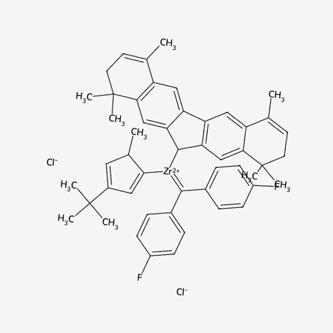 CC1=CCC(C)(C)c2cc3c(cc21)-c1cc2c(cc1[CH]3[Zr+2]([C]1=CC(C(C)(C)C)=CC1C)=[C](c1ccc(F)cc1)c1ccc(F)cc1)C(C)(C)CC=C2C.[Cl-].[Cl-]